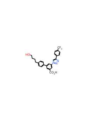 O=C(O)c1cc(-c2ccc(CCCCO)cc2)cc(-n2cc(-c3ccc(C(F)(F)F)cc3)nn2)c1